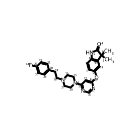 CC1(C)C(=O)Nc2ccc(Oc3cc(N4CCN(CCc5ccc(F)cc5)CC4)ncn3)cc21